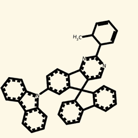 CC1C=CC=CC1c1ncc2c(n1)-c1ccc(-n3c4ccccc4c4ccccc43)cc1C21c2ccccc2-c2ccccc21